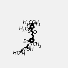 CCc1cc(CCC(=O)c2sc(C)c3c2C[C@H]2[C@@H]3C2(C)C)cc(C)c1OCC(O)CNCCO